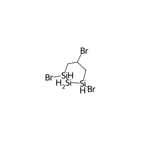 BrC1C[SiH](Br)[SiH2][SiH](Br)C1